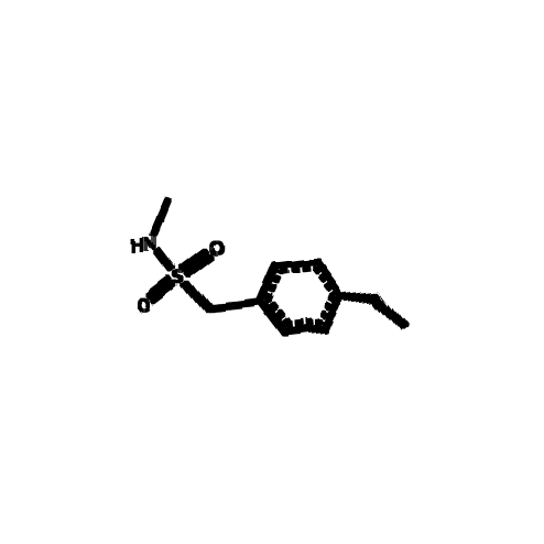 CCc1ccc(CS(=O)(=O)NC)cc1